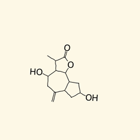 C=C1CC(O)C2C(C)C(=O)OC2C2CC(O)CC12